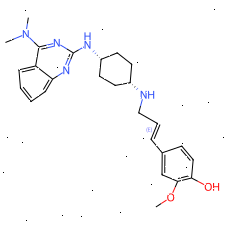 COc1cc(/C=C/CN[C@H]2CC[C@@H](Nc3nc(N(C)C)c4ccccc4n3)CC2)ccc1O